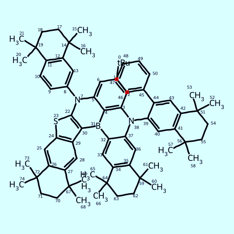 CC(C)(C)c1cc2c3c(c1)N(c1ccc4c(c1)C(C)(C)CCC4(C)C)c1sc4cc5c(cc4c1B3c1cc3c(cc1N2c1cc2c(cc1-c1ccccc1)C(C)(C)CCC2(C)C)C(C)(C)CCC3(C)C)C(C)(C)CCC5(C)C